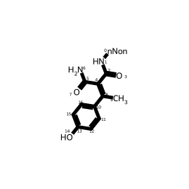 CCCCCCCCCNC(=O)C(C(N)=O)=C(C)c1ccc(O)cc1